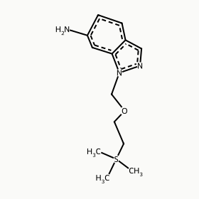 CS(C)(C)CCOCn1ncc2ccc(N)cc21